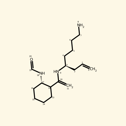 C=CC[C@H](CCCCN)NC(=C)C1CCCC[C@@H]1NC=O